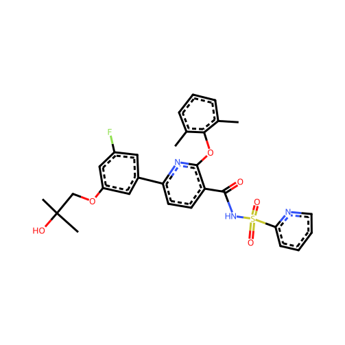 Cc1cccc(C)c1Oc1nc(-c2cc(F)cc(OCC(C)(C)O)c2)ccc1C(=O)NS(=O)(=O)c1ccccn1